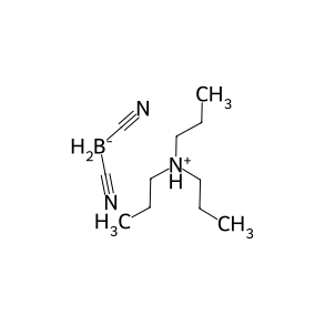 CCC[NH+](CCC)CCC.N#C[BH2-]C#N